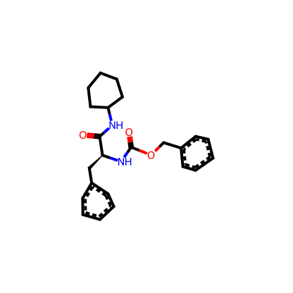 O=C(N[C@@H](Cc1ccccc1)C(=O)NC1CCCCC1)OCc1ccccc1